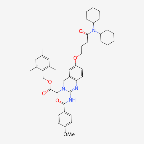 COc1ccc(C(=O)NC2=Nc3ccc(OCCCC(=O)N(C4CCCCC4)C4CCCCC4)cc3CN2CC(=O)OCc2c(C)cc(C)cc2C)cc1